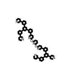 c1cncc(-c2cccc(-c3cc(-c4ccncc4)cc(-c4cccc(-c5ccc(Oc6cccc(Oc7ccc(-c8cccc(-c9cc(-c%10cccc(-c%11cccnc%11)c%10)cc(-c%10cccc(-c%11cccnc%11)c%10)c9)c8)cn7)n6)nc5)c4)c3)c2)c1